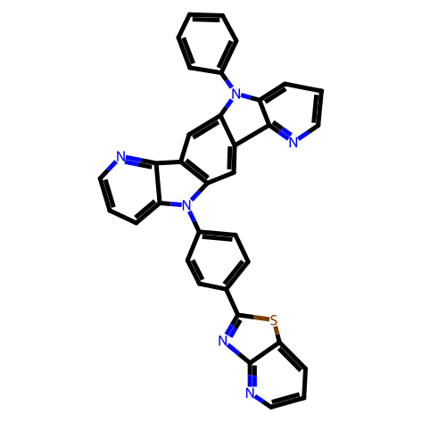 c1ccc(-n2c3cc4c5ncccc5n(-c5ccc(-c6nc7ncccc7s6)cc5)c4cc3c3ncccc32)cc1